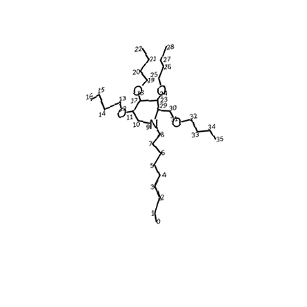 CCCCCCCCCN1CC(OCCCC)C(OCCCC)C(OCCCC)C1COCCCC